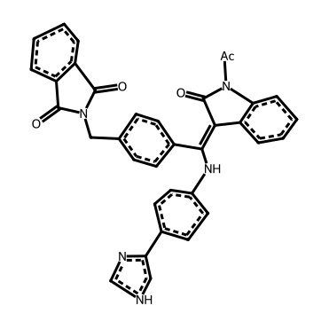 CC(=O)N1C(=O)C(=C(Nc2ccc(-c3c[nH]cn3)cc2)c2ccc(CN3C(=O)c4ccccc4C3=O)cc2)c2ccccc21